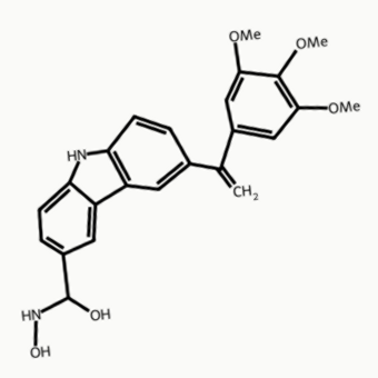 C=C(c1cc(OC)c(OC)c(OC)c1)c1ccc2[nH]c3ccc(C(O)NO)cc3c2c1